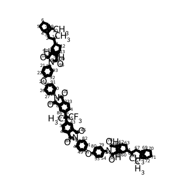 CC(CC1C2CCC(C2)C1C)C1CC2CC1[C@H]1C(=O)N(c3ccc(Oc4ccc(N5C(=O)c6ccc(C(C)(c7ccc8c(c7)C(=O)N(c7ccc(Oc9ccc(N%10C(=O)[C@@H]%11C%12CC(CC%12C(C)CC%12C%13CCC(C%13)C%12C)[C@@H]%11C%10=O)cc9)cc7)C8=O)C(F)(F)F)cc6C5=O)cc4)cc3)C(=O)[C@@H]21